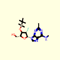 CNc1nc(C)nc2c1ncn2[C@@H]1O[C@H](CO)C(O[Si](C)(C)C(C)(C)C)[C@@H]1F